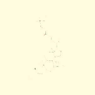 CC(=O)O[C@@H]1CC[C@@]2(C)C(C1)C[C@H](OC(C)=O)[C@H]1[C@@H]3CC[C@H]([C@H](C)CCC(=O)OCC(F)(F)S(=O)(=O)O)[C@@]3(C)CC[C@@H]12